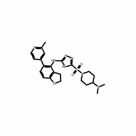 Cc1cc(-c2ccc3c(c2Nc2nnc(S(=O)(=O)N4CCC(N(C)C)CC4)[nH]2)CCO3)ccn1